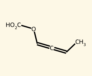 CC=C=COC(=O)O